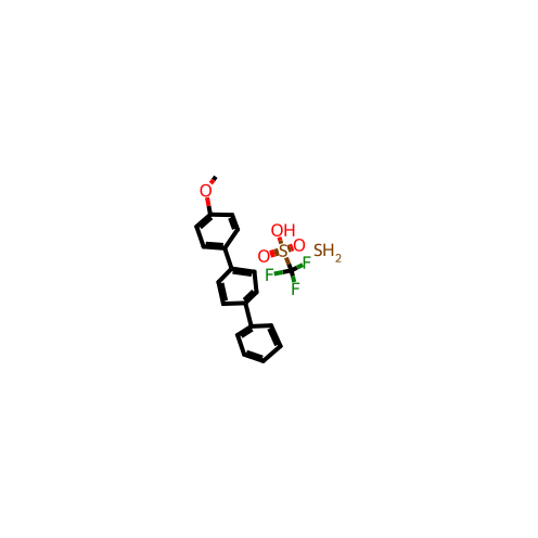 COc1ccc(-c2ccc(-c3ccccc3)cc2)cc1.O=S(=O)(O)C(F)(F)F.S